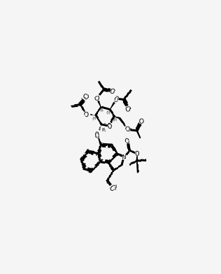 CC(=O)OC[C@H]1O[C@H](Oc2cc3c(c4ccccc24)C(CCl)CN3C(=O)OC(C)(C)C)[C@H](OC(C)=O)[C@@H](OC(C)=O)[C@H]1OC(C)=O